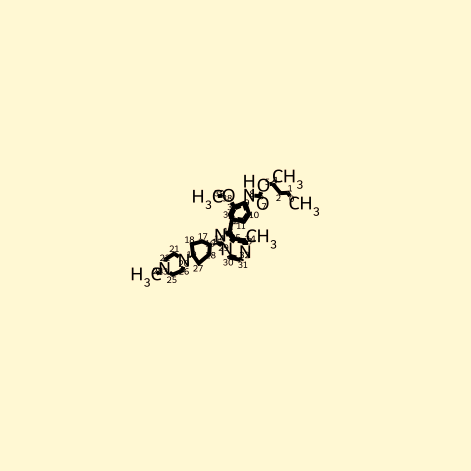 CCCC(C)OC(=O)Nc1ccc(-c2nc([C@H]3CC[C@@H](N4CCN(C)CC4)CC3)n3ccnc(C)c23)cc1OC